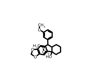 COc1cccc(C(C2CCCCC2(O)c2ccc3c(c2)OCO3)N(C)C)c1